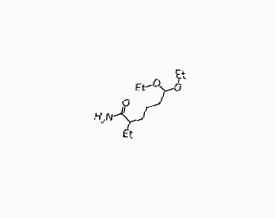 CCOC(CCCC(CC)C(N)=O)OCC